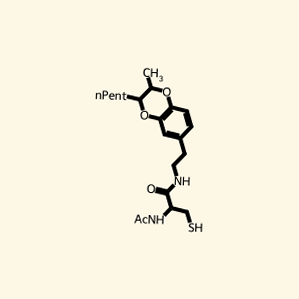 CCCCCC1Oc2cc(CCNC(=O)C(CS)NC(C)=O)ccc2OC1C